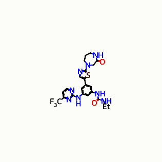 CCNC(=O)Nc1cc(Nc2nccc(C(F)(F)F)n2)cc(-c2cnc(N3CCCNC(=O)C3)s2)c1